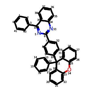 c1ccc(-c2nc(-c3ccc(C4(c5ccccc5)c5ccccc5Oc5ccccc54)cc3)nc3ccccc23)cc1